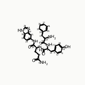 NC(=O)CCC(NC(=O)C(Cc1ccc(O)cc1)NC(=O)C(N)Cc1ccccc1)C(=O)Nc1ccc2[nH]cnc2c1